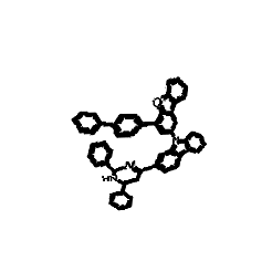 C1=C(c2ccccc2)NC(c2ccccc2)N=C1c1ccc2c3ccccc3n(-c3cc(-c4ccc(-c5ccccc5)cc4)c4oc5ccccc5c4c3)c2c1